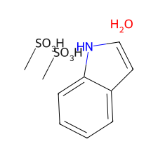 CS(=O)(=O)O.CS(=O)(=O)O.O.c1ccc2[nH]ccc2c1